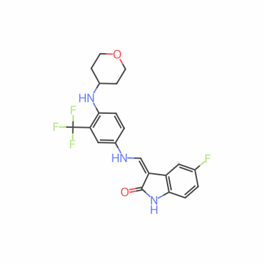 O=C1Nc2ccc(F)cc2C1=CNc1ccc(NC2CCOCC2)c(C(F)(F)F)c1